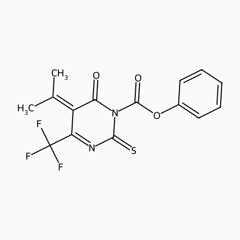 CC(C)=C1C(=O)N(C(=O)Oc2ccccc2)C(=S)N=C1C(F)(F)F